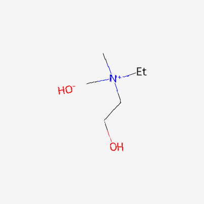 CC[N+](C)(C)CCO.[OH-]